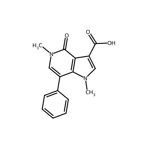 Cn1cc(-c2ccccc2)c2c(c(C(=O)O)cn2C)c1=O